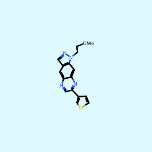 COCCn1ncc2cc3ncc(-c4ccsc4)nc3cc21